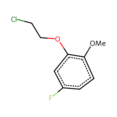 COc1ccc(F)cc1OCCCl